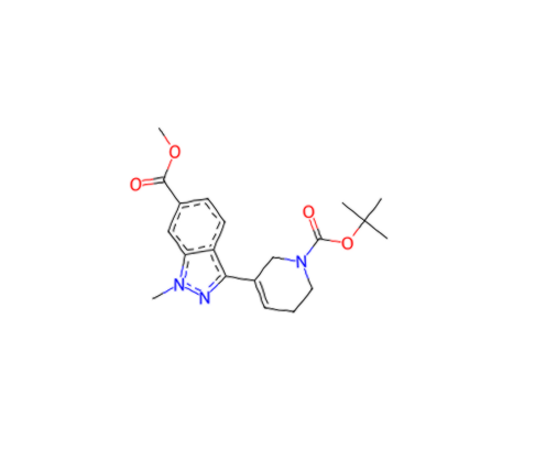 COC(=O)c1ccc2c(C3=CCCN(C(=O)OC(C)(C)C)C3)nn(C)c2c1